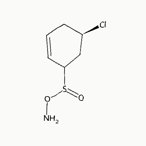 NOS(=O)C1C=CC[C@@H](Cl)C1